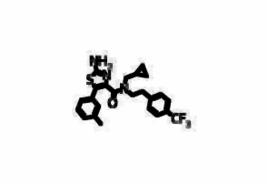 Cc1cccc(-c2sc(N)nc2C(=O)N(CCc2ccc(C(F)(F)F)cc2)CC2CC2)c1